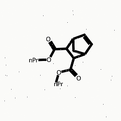 CCCOC(=O)C1C2C=CC(C2)C1C(=O)OCCC